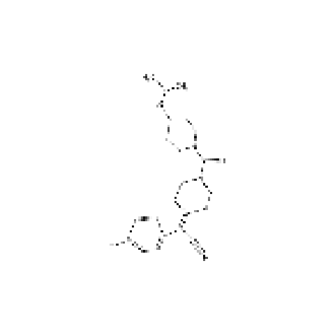 CC(C)OC1CCN(C(=O)N2CCC(=C(C#N)c3ccc(Cl)cc3)CC2)CC1